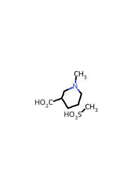 CN1CCCC(C(=O)O)C1.CS(=O)(=O)O